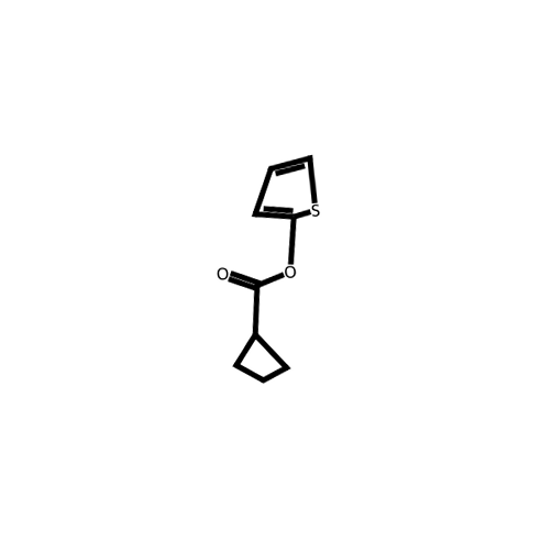 O=C(Oc1cccs1)C1CCC1